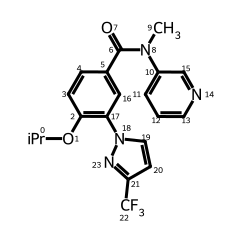 CC(C)Oc1ccc(C(=O)N(C)c2cccnc2)cc1-n1ccc(C(F)(F)F)n1